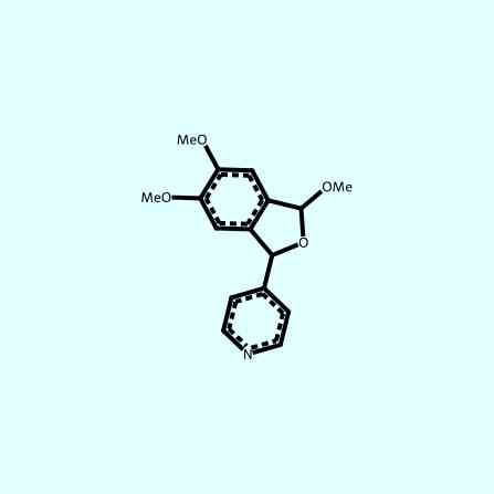 COc1cc2c(cc1OC)C(c1ccncc1)OC2OC